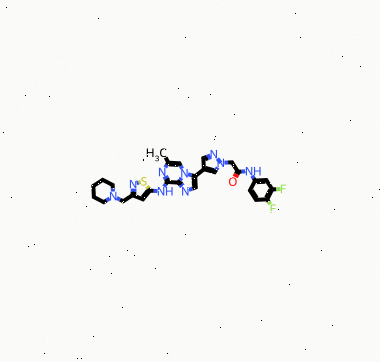 Cc1cn2c(-c3cnn(CC(=O)Nc4ccc(F)c(F)c4)c3)cnc2c(Nc2cc(CN3CCCCC3)ns2)n1